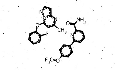 Cc1cc(Oc2ccccc2F)n2nccc2n1.NC(=O)c1cccc(-c2ccc(OC(F)(F)F)cc2)n1